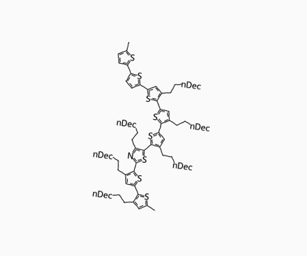 CCCCCCCCCCCCc1cc(C)sc1-c1cc(CCCCCCCCCCCC)c(-c2nc(CCCCCCCCCCCC)c(-c3sc(-c4sc(-c5sc(-c6ccc(-c7ccc(C)s7)s6)cc5CCCCCCCCCCCC)cc4CCCCCCCCCCCC)cc3CCCCCCCCCCCC)s2)s1